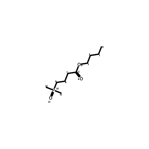 CCCCOC(=O)CCCP(C)(C)=O